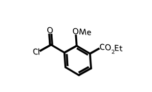 CCOC(=O)c1cccc(C(=O)Cl)c1OC